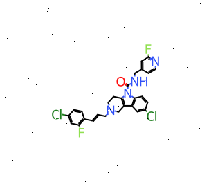 O=C(NCc1ccnc(F)c1)n1c2c(c3cc(Cl)ccc31)CN(CC=Cc1ccc(Cl)cc1F)CC2